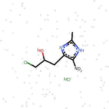 Cc1nc(CC(O)CCl)c([N+](=O)[O-])[nH]1.Cl